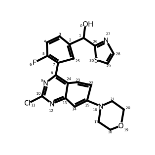 OC(c1ccc(F)c(-c2nc(Cl)nc3cc(N4CCOCC4)ccc23)c1)c1nccs1